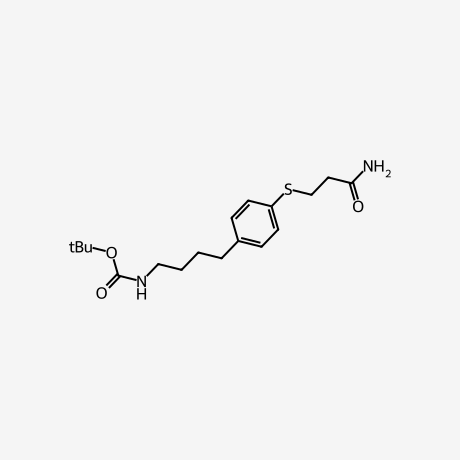 CC(C)(C)OC(=O)NCCCCc1ccc(SCCC(N)=O)cc1